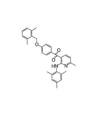 Cc1cc(C)c(Nc2nc(C)ccc2S(=O)(=O)c2ccc(OCc3c(C)cccc3C)cc2)c(C)c1